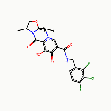 C[C@H]1COC23CCC[C@H]2n2cc(C(=O)NCc4ccc(F)c(Cl)c4F)c(=O)c(O)c2C(=O)N13